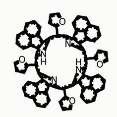 c1coc(-c2c3nc(c(-c4ccco4)c4[nH]c(c(-c5ccco5)c5nc(c(-c6ccco6)c6[nH]c2c2c7cccc8cccc(c87)c62)c2c6cccc7cccc(c76)c52)c2c5cccc6cccc(c65)c42)c2c4cccc5cccc(c54)c32)c1